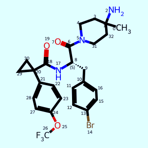 CC1(N)CCN(C(=O)[C@H](Cc2ccc(Br)cc2)NC(=O)C2(c3ccc(OC(F)(F)F)cc3)CC2)CC1